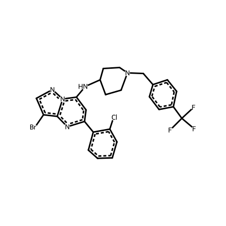 FC(F)(F)c1ccc(CN2CCC(Nc3cc(-c4ccccc4Cl)nc4c(Br)cnn34)CC2)cc1